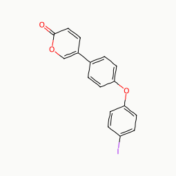 O=c1ccc(-c2ccc(Oc3ccc(I)cc3)cc2)co1